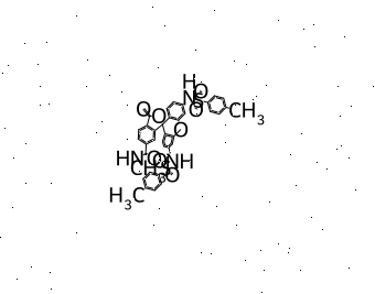 CNC(=O)c1ccc2c(c1)C1(OC2=O)c2ccc(NS(=O)(=O)c3ccc(C)cc3)cc2Oc2cc(NS(=O)(=O)c3ccc(C)cc3)ccc21